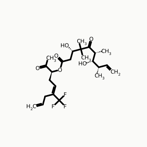 C=CC/C(=C\C[C@H](OC(=O)C[C@H](O)C(C)(C)C(=O)[C@H](C)[C@@H](O)[C@@H](C)C=C)C(C)=O)C(F)(F)F